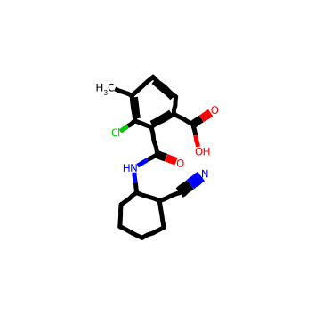 Cc1ccc(C(=O)O)c(C(=O)NC2CCCCC2C#N)c1Cl